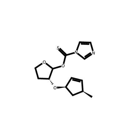 C[C@@H]1C=C[C@H](O[C@@H]2CCOC2OC(=S)n2ccnc2)C1